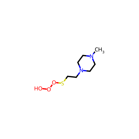 CN1CCN(CCSOOO)CC1